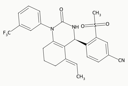 CC=C1CCCC2=C1[C@H](c1ccc(C#N)cc1S(C)(=O)=O)NC(=O)N2c1cccc(C(F)(F)F)c1